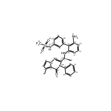 Cc1ccn2nc([C@H](C)Nc3ncnc(N)c3-c3cccc(NS(=O)(=O)C(F)(F)F)c3)n(-c3ccccc3)c(=O)c12